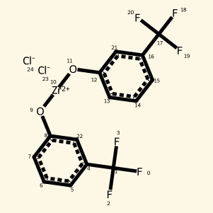 FC(F)(F)c1cccc([O][Zr+2][O]c2cccc(C(F)(F)F)c2)c1.[Cl-].[Cl-]